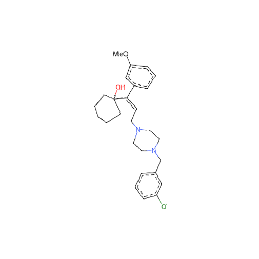 COc1cccc(/C(=C/CN2CCN(Cc3cccc(Cl)c3)CC2)C2(O)CCCCC2)c1